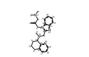 C=C(CN(C)C)Cn1c(CN(C)C2CCCc3cccnc32)nc2ccccc21